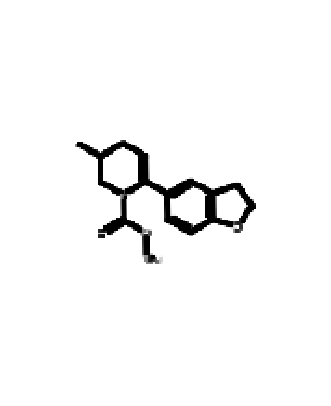 CC1CC=C(c2ccc3c(c2)CCO3)N(C(=O)OC(C)(C)C)C1